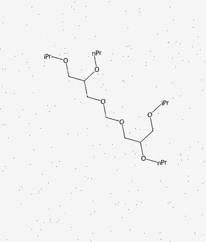 CCCOC(COCOCC(COC(C)C)OCCC)COC(C)C